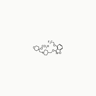 O=C(O)OC1(CN2CCC(COc3noc4cccc(OCC(F)(F)F)c34)CC2)CCOCC1